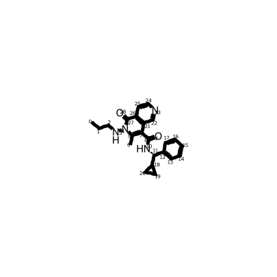 CCCNn1c(C)c(C(=O)N[C@H](c2ccccc2)C2CC2)c2cnccc2c1=O